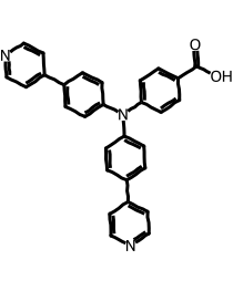 O=C(O)c1ccc(N(c2ccc(-c3ccncc3)cc2)c2ccc(-c3ccncc3)cc2)cc1